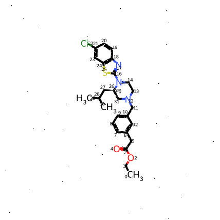 CCOC(=O)Cc1cccc(CN2CCN(c3nc4ccc(Cl)cc4s3)[C@H](CC(C)C)C2)c1